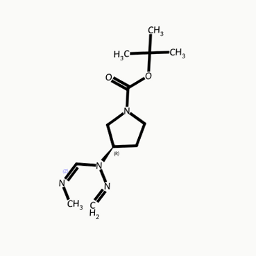 C=NN(/C=N\C)[C@@H]1CCN(C(=O)OC(C)(C)C)C1